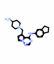 NC1CCN(Cc2ccn3ncnc(Nc4ccc5c(c4)CCC5)c23)CC1